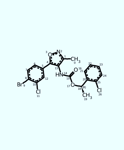 Cc1noc(-c2ccc(Br)c(Cl)c2)c1NC(=O)O[C@H](C)c1ccccc1Cl